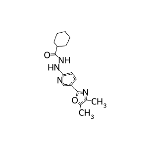 Cc1nc(-c2ccc(NNC(=O)C3CCCCC3)nc2)oc1C